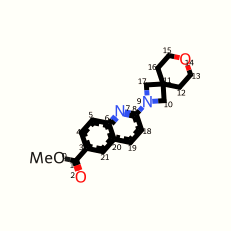 COC(=O)c1ccc2nc(N3CC4(CCOCC4)C3)ccc2c1